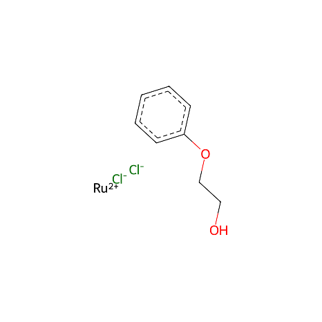 OCCOc1ccccc1.[Cl-].[Cl-].[Ru+2]